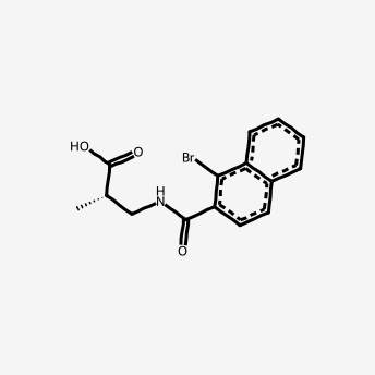 C[C@@H](CNC(=O)c1ccc2ccccc2c1Br)C(=O)O